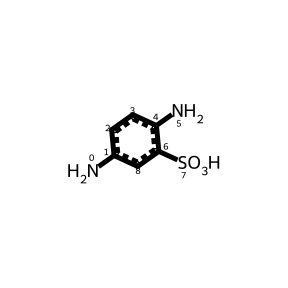 Nc1ccc(N)c(S(=O)(=O)O)c1